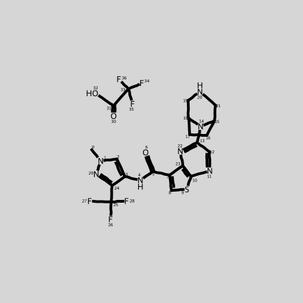 Cn1cc(NC(=O)c2csc3ncc(N4C5CCC4CNC5)nc23)c(C(F)(F)F)n1.O=C(O)C(F)(F)F